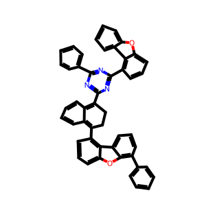 c1ccc(-c2nc(C3=c4ccccc4=C(c4cccc5oc6c(-c7ccccc7)cccc6c45)CC3)nc(-c3cccc4oc5ccccc5c34)n2)cc1